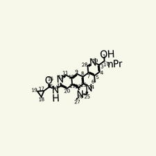 CCC[C@@H](O)c1cc(C)c(-c2cc3cnc(NC(=O)C4CC4)cc3c3c2ncn3C)cn1